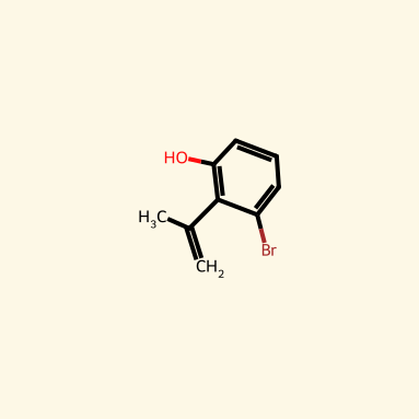 C=C(C)c1c(O)cccc1Br